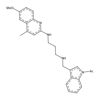 COc1ccc2nc(NCCCNCc3cn(C(C)=O)c4ccccc34)cc(C)c2c1